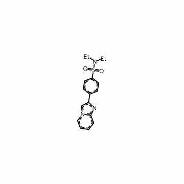 CCN(CC)S(=O)(=O)c1ccc(-c2cn3ccccc3n2)cc1